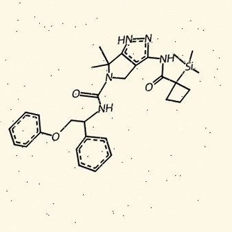 CC1(C)c2[nH]nc(NC(=O)C3([Si](C)(C)C)CCC3)c2CN1C(=O)NC(COc1ccccc1)c1ccccc1